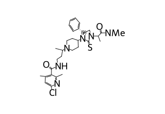 CNC(=O)C(C)N1C[C@@H](c2ccccc2)N(C2CCN(C(C)CCNC(=O)c3c(C)cc(Cl)nc3C)CC2)C1=S